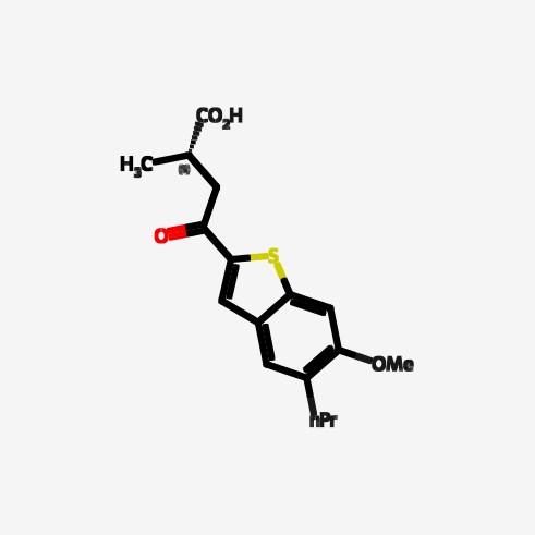 CCCc1cc2cc(C(=O)C[C@H](C)C(=O)O)sc2cc1OC